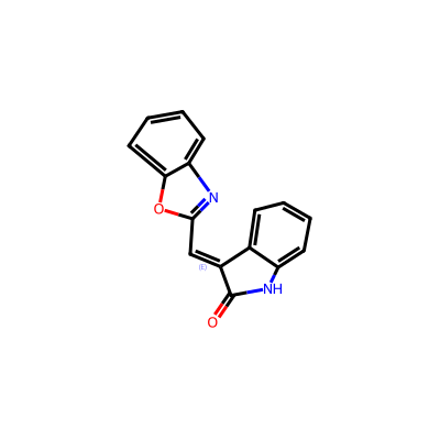 O=C1Nc2ccccc2/C1=C\c1nc2ccccc2o1